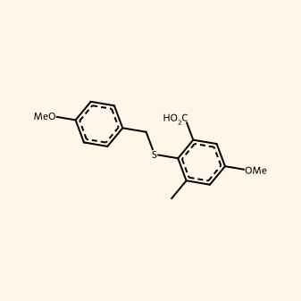 COc1ccc(CSc2c(C)cc(OC)cc2C(=O)O)cc1